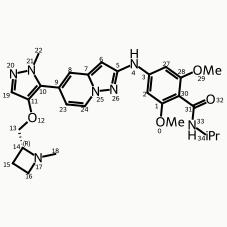 COc1cc(Nc2cc3cc(-c4c(OC[C@H]5CCN5C)cnn4C)ccn3n2)cc(OC)c1C(=O)NC(C)C